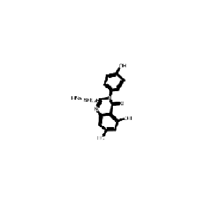 O=c1c2c(O)cc(O)cc2ncn1-c1ccc(O)cc1.[NaH].[NaH].[NaH]